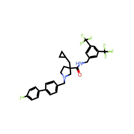 O=C(NCc1cc(C(F)(F)F)cc(C(F)(F)F)c1)C1(CC2CC2)CCN(Cc2ccc(-c3ccc(F)cc3)cc2)C1